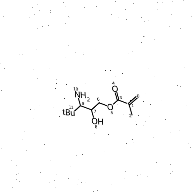 C=C(C)C(=O)OCC(O)C(N)C(C)(C)C